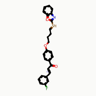 O=C(/C=C/c1cccc(F)c1)c1ccc(OCCCC=[SH]c2nc3ccccc3o2)cc1